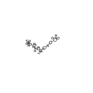 CC(C)n1nc(N2CCC(N(C)Cc3ccc(C4CCC(=O)NC4=O)cc3)CC2)c2cnc(Nc3ccnc(-c4cnn(S(=O)(=O)C5CC5)c4)n3)cc21